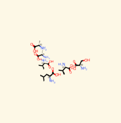 CC(C)C[C@H](N)C(=O)O.CC(C)[C@H](N)C(=O)O.CC(C)[C@H](N)C(=O)O.C[C@H](N)C(=O)O.C[C@H](N)C(=O)O.N[C@@H](CO)C(=O)O